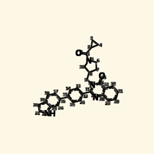 O=C(C1CC1)N1CCC(Cn2c(-c3ccc(-c4ccc5cc[nH]c5c4)cc3)nc3ccccc3c2=O)C1